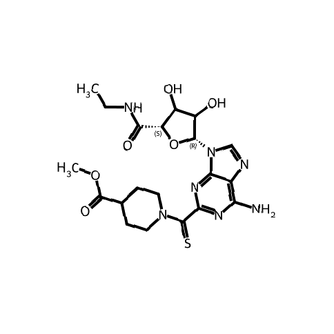 CCNC(=O)[C@H]1O[C@@H](n2cnc3c(N)nc(C(=S)N4CCC(C(=O)OC)CC4)nc32)C(O)C1O